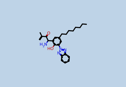 C=C(C)C(=O)C(N)c1cc(CCCCCCCC)cc(-n2nc3ccccc3n2)c1O